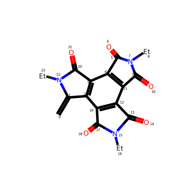 C=C1c2c(c3c(=O)n(CC)c(=O)c3c3c(=O)n(CC)c(=O)c23)C(=O)N1CC